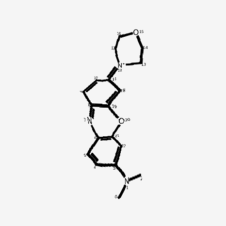 CN(C)c1ccc2nc3ccc(=[N+]4CCOCC4)cc-3oc2c1